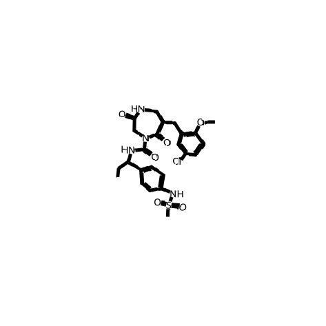 CCC(NC(=O)N1CC(=O)NCC(Cc2cc(Cl)ccc2OC)C1=O)c1ccc(NS(C)(=O)=O)cc1